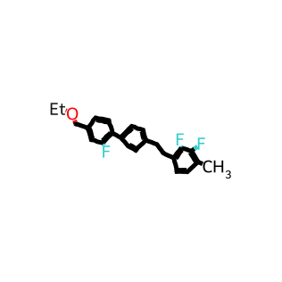 CCOCc1ccc(-c2ccc(CCc3ccc(C)c(F)c3F)cc2)c(F)c1